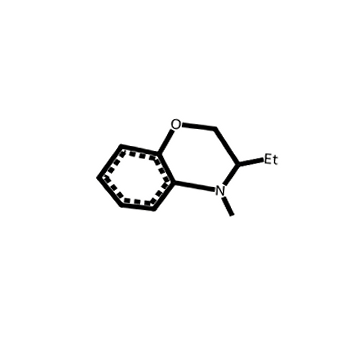 CCC1COc2ccccc2N1C